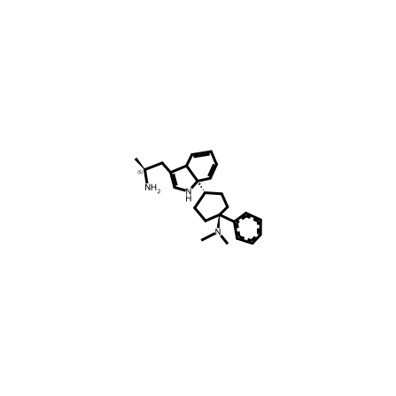 C[C@H](N)CC1=CNC2([C@H]3CC[C@](c4ccccc4)(N(C)C)CC3)C=CC=CC12